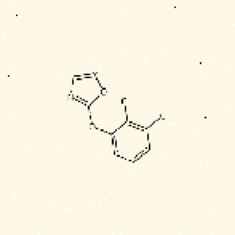 Clc1cccc(Oc2nc[c]o2)c1Cl